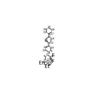 CCOC1(OCC)C=CC(c2ccc(-c3ccc(-c4ccccc4)cc3)cc2)=C(F)C1F